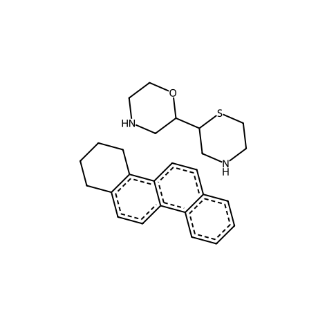 C1COC(C2CNCCS2)CN1.c1ccc2c(c1)ccc1c3c(ccc12)CCCC3